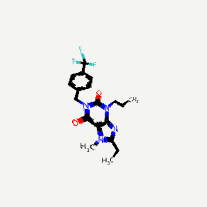 CCCn1c(=O)n(Cc2ccc(C(F)(F)F)cc2)c(=O)c2c1nc(CC)n2C